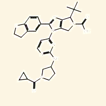 CC(C)(C)C1c2nc(-c3ccc4c(c3)CCO4)n(-c3ccnc(NC4CCN(C(=O)C5CC5)C4)n3)c2CN1C(=O)O